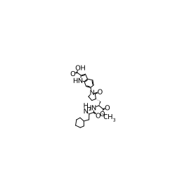 COC(=O)[C@H](C[C@@H]1CCN(c2ccc3cc(C(=O)O)[nH]c3c2)C1=O)NC(=O)[C@@H](N)CC1CCCCC1